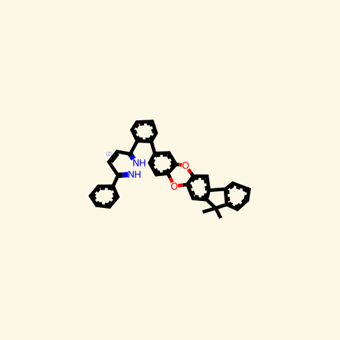 CC1(C)c2ccccc2-c2cc3c(cc21)Oc1ccc(-c2ccccc2C(=N)/C=C\C(=N)c2ccccc2)cc1O3